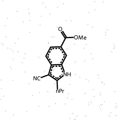 CCCc1[nH]c2cc(C(=O)OC)ccc2c1C#N